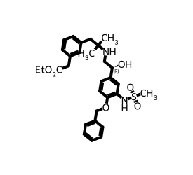 CCOC(=O)Cc1cccc(CC(C)(C)NC[C@H](O)c2ccc(OCc3ccccc3)c(NS(C)(=O)=O)c2)c1